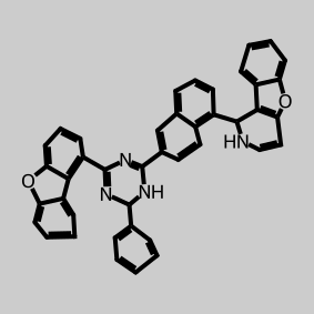 C1=Cc2oc3ccccc3c2C(c2cccc3cc(C4=NC(c5cccc6oc7ccccc7c56)=NC(c5ccccc5)N4)ccc23)N1